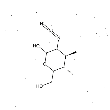 C[C@@H]1C(CO)OC(O)C(N=[N+]=[N-])[C@H]1C